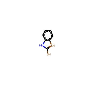 SC1=[SH]c2ccccc2N1